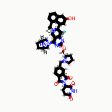 C#Cc1cccc2cc(O)cc(-c3ncc4c(N5C[C@H]6CC[C@@H](C5)N6)nc(OC[C@@H]5CCCN5Cc5ccc6c(c5)C(=O)N(C5CCC(=O)NC5=O)C6=O)nc4c3F)c12